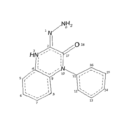 NN=c1[nH]c2ccccc2n(-c2ccccc2)c1=O